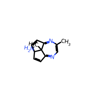 CC1=CN=C2C=CC3(N)C=CC(=N1)C23C